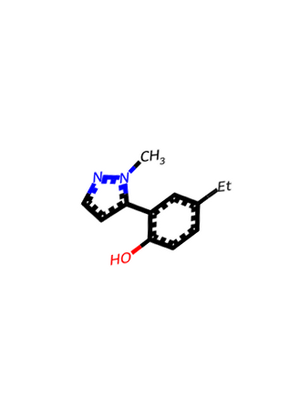 CCc1ccc(O)c(-c2ccnn2C)c1